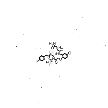 C[C@@H]1CN(Cc2ccc(F)cc2)[C@@H](C)CN1C(=O)COc1ccc(Cl)cc1NC(=O)CNC(N)=O